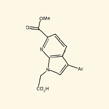 COC(=O)c1ccc2c(C(C)=O)cn(CC(=O)O)c2n1